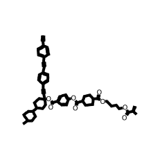 C#Cc1ccc(C#Cc2ccc(C#CC3(OC(=O)c4ccc(OC(=O)C5CCC(C(=O)OCCCCOC(=O)C(=C)C)CC5)cc4)CCC(C4CCC(C)CC4)CC3)cc2)cc1